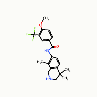 COc1ccc(C(=O)Nc2ccc3c(c2C)CNCC3(C)C)cc1C(F)(F)F